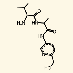 CC(NC(=O)C(N)C(C)C)C(=O)Nc1ccc(CO)nc1